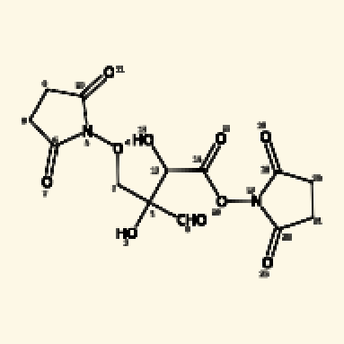 O=CC(O)(CON1C(=O)CCC1=O)C(O)C(=O)ON1C(=O)CCC1=O